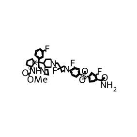 COC(=O)N[C@H]1CCC[C@@H]1C(CN1CCC1)(c1cccc(F)c1)C1CCN(CC2(F)CN(c3ccc(S(=O)(=O)c4ccc(C(N)=O)c(F)c4)cc3F)C2)CC1